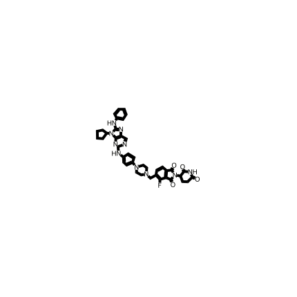 O=C1CCC(N2C(=O)c3ccc(CN4CCN(c5ccc(Nc6ncc7nc(Nc8ccccc8)n(C8CCCC8)c7n6)cc5)CC4)c(F)c3C2=O)C(=O)N1